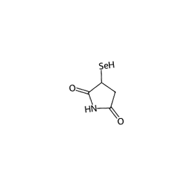 O=C1CC([SeH])C(=O)N1